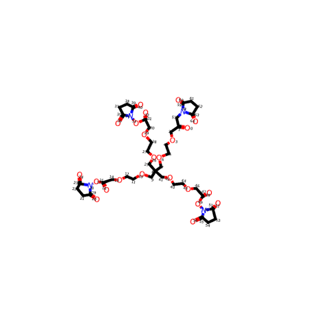 O=C(COCCOCC(COCCOCC(=O)ON1C(=O)CCC1=O)(COCCOCC(=O)ON1C(=O)CCC1=O)COCCOCC(=O)ON1C(=O)CCC1=O)CN1C(=O)CCC1=O